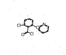 O=C(Cl)c1c(Cl)cccc1Cl.c1ccncc1